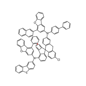 Clc1ccc2c(c1)Cc1cc(N(c3ccc(-c4ccccc4)cc3)c3cc(-c4ccc5ccccc5c4)c4oc5ccccc5c4c3)ccc1C21c2ccccc2-c2c(N(c3cc(-c4ccccc4)c4c(c3)oc3ccccc34)c3ccc4sc5ccccc5c4c3)cccc21